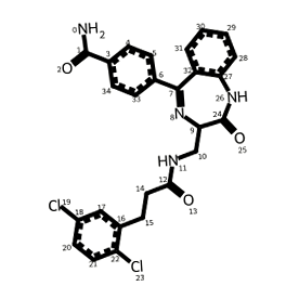 NC(=O)c1ccc(C2=NC(CNC(=O)CCc3cc(Cl)ccc3Cl)C(=O)Nc3ccccc32)cc1